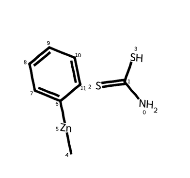 NC(=S)S.[CH3][Zn][c]1ccccc1